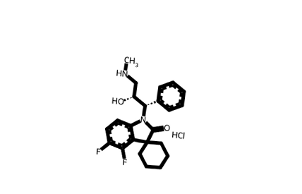 CNC[C@@H](O)[C@H](c1ccccc1)N1C(=O)C2(CCCCC2)c2c1ccc(F)c2F.Cl